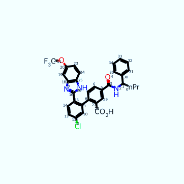 CCCC(NC(=O)c1ccc(-c2cc(Cl)ccc2-c2nc3cc(OC(F)(F)F)ccc3[nH]2)c(C(=O)O)c1)c1ccccc1